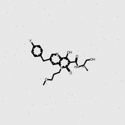 COCCCn1c(=O)c(C(=O)N[C@H](C)CO)c(O)c2ncc(Cc3ccc(F)cc3)cc21